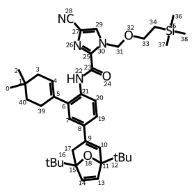 CC1(C)CC=C(c2cc(C3=CC4(C(C)(C)C)C=CC(C(C)(C)C)(C3)O4)ccc2NC(=O)c2nc(C#N)cn2COCC[Si](C)(C)C)CC1